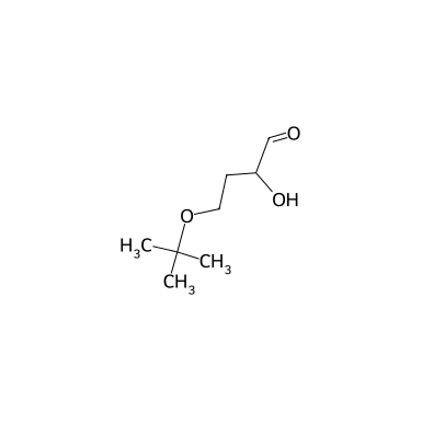 CC(C)(C)OCCC(O)C=O